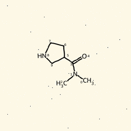 CN(C)C(=O)C1CCNC1